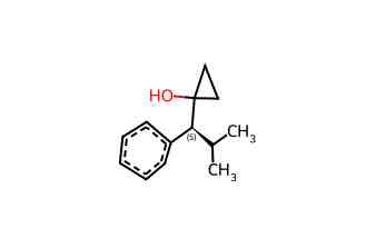 CC(C)[C@@H](c1ccccc1)C1(O)CC1